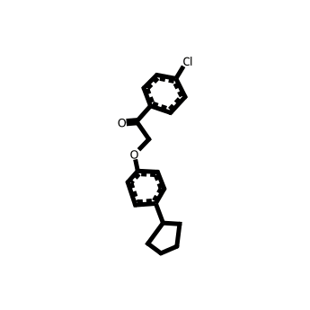 O=C(COc1ccc(C2CCCC2)cc1)c1ccc(Cl)cc1